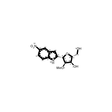 CO[C@@H]1[C@H](O)[C@@H](CO)O[C@H]1c1cc2cc([N+](=O)[O-])ccc2[nH]1